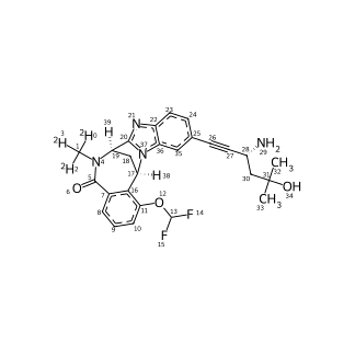 [2H]C([2H])([2H])N1C(=O)c2cccc(OC(F)F)c2[C@H]2C[C@@H]1c1nc3ccc(C#C[C@H](N)CC(C)(C)O)cc3n12